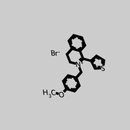 COc1ccc(C[N+]2=C(c3ccsc3)c3ccccc3CC2)cc1.[Br-]